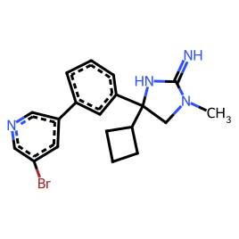 CN1CC(c2cccc(-c3cncc(Br)c3)c2)(C2CCC2)NC1=N